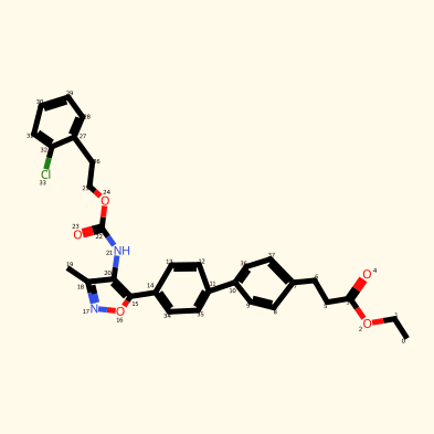 CCOC(=O)CCc1ccc(-c2ccc(-c3onc(C)c3NC(=O)OCCc3ccccc3Cl)cc2)cc1